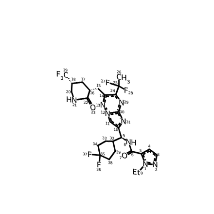 CCn1nccc1C(=O)N[C@H](c1cn2nc(C[C@H]3C[C@@H](C(F)(F)F)CNC3=O)c(C(C)(F)F)nc2n1)C1CCC(F)(F)CC1